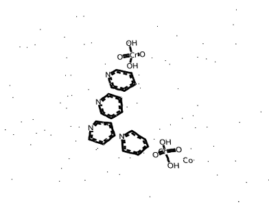 [Co].[O]=[Cr](=[O])([OH])[OH].[O]=[Cr](=[O])([OH])[OH].c1ccncc1.c1ccncc1.c1ccncc1.c1ccncc1